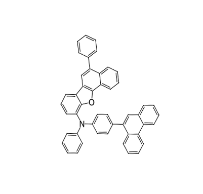 c1ccc(-c2cc3c4cccc(N(c5ccccc5)c5ccc(-c6cc7ccccc7c7ccccc67)cc5)c4oc3c3ccccc23)cc1